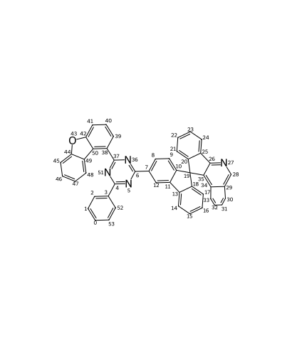 c1ccc(-c2nc(-c3ccc4c(c3)-c3ccccc3C43c4ccccc4-c4ncc5ccccc5c43)nc(-c3cccc4oc5ccccc5c34)n2)cc1